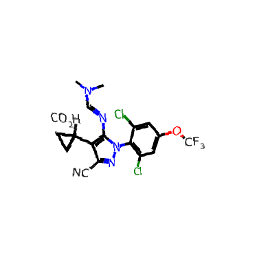 CN(C)/C=N/c1c(C2(C(=O)O)CC2)c(C#N)nn1-c1c(Cl)cc(OC(F)(F)F)cc1Cl